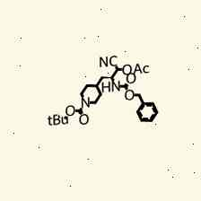 CC(=O)OC(C#N)[C@H](CC1CCN(C(=O)OC(C)(C)C)CC1)NC(=O)OCc1ccccc1